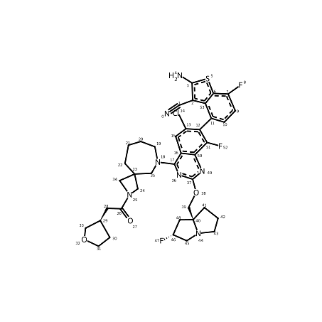 N#Cc1c(N)sc2c(F)ccc(-c3c(Cl)cc4c(N5CCCCC6(CN(C(=O)C[C@H]7CCOC7)C6)C5)nc(OC[C@@]56CCCN5C[C@H](F)C6)nc4c3F)c12